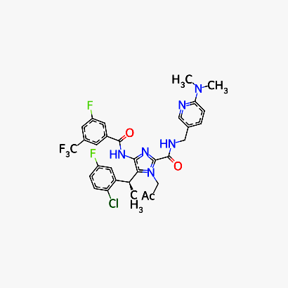 CC(=O)Cn1c(C(=O)NCc2ccc(N(C)C)nc2)nc(NC(=O)c2cc(F)cc(C(F)(F)F)c2)c1[C@@H](C)c1cc(F)ccc1Cl